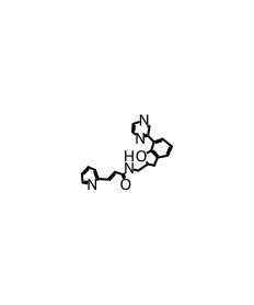 O=C(/C=C/c1ccccn1)NCC1Cc2cccc(-c3cnccn3)c2O1